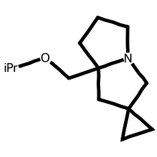 CC(C)OCC12CCCN1CC1(CC1)C2